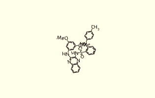 COc1cc(Nc2nc3ccccc3nc2NS(=O)(=O)c2ccccc2Nc2ccc(C)cc2)cc(OC)c1